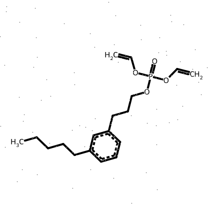 C=COP(=O)(OC=C)OCCCc1cccc(CCCCC)c1